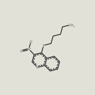 CCCCCSc1c([N+](=O)[O-])cnc2ccccc12